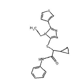 CCn1c(SC(C(=O)Nc2ccccc2)C2CC2)nnc1-c1ccsc1